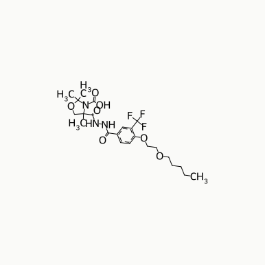 CCCCCOCCOc1ccc(C(=O)NNC(=O)C2(C)COC(C)(C)N2C(=O)O)cc1C(F)(F)F